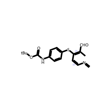 C=N/C=C\C(Sc1ccc(NC(=O)OC(C)(C)C)cc1)=C(/C)C=O